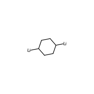 [Li][CH]1CC[CH]([Li])CC1